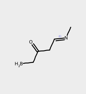 BCC(=O)C/C=N/C